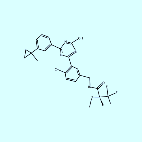 CO[C@](C)(C(=O)NCc1ccc(Cl)c(-c2nc(O)nc(-c3cccc(C4(C)CC4)c3)n2)c1)C(F)(F)F